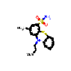 CNCCNc1cc(C(=O)O)cc(S(N)(=O)=O)c1Sc1ccccc1